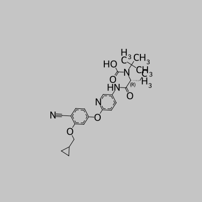 CC[C@H](C(=O)Nc1ccc(Oc2ccc(C#N)c(OCC3CC3)c2)nc1)N(C(=O)O)C(C)(C)C